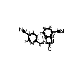 N#Cc1ccc(Cn2c(Cl)nc3c(C#N)cccc32)nc1